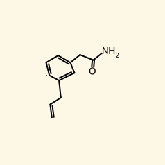 C=CCc1[c]ccc(CC(N)=O)c1